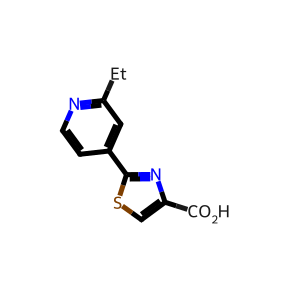 CCc1cc(-c2nc(C(=O)O)cs2)ccn1